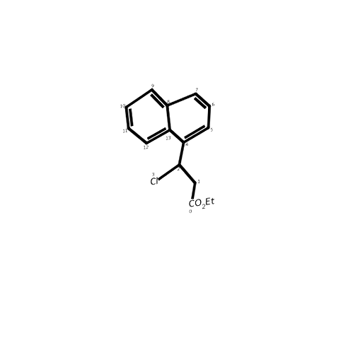 CCOC(=O)CC(Cl)c1cccc2ccccc12